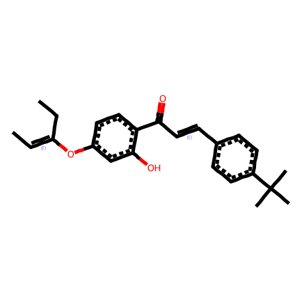 C/C=C(\CC)Oc1ccc(C(=O)/C=C/c2ccc(C(C)(C)C)cc2)c(O)c1